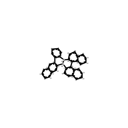 c1ccc2c(c1)-c1cc3ccccc3cc1B1c3ccc4ccccc4c3-c3c(ccc4ccccc34)N12